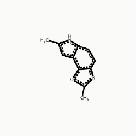 Cc1cc2c(ccc3nc(C)oc32)[nH]1